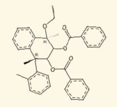 CCO[C@]1(C)c2ccccc2[C@@](C)(c2ccccc2C)C(OC(=O)c2ccccc2)C1OC(=O)c1ccccc1